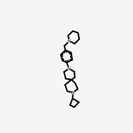 c1cc(N2CCC3(CC2)CCN(C2CCC2)CC3)ccc1CN1CCCCC1